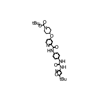 CC(C)(C)OC(=O)N1CCC(Oc2ccnc(C(=O)Nc3ccc(NC(=O)Nc4cc(C(C)(C)C)on4)cc3)c2)CC1